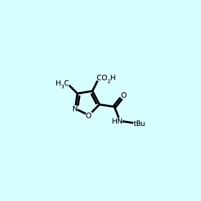 Cc1noc(C(=O)NC(C)(C)C)c1C(=O)O